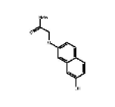 CNC(=O)COc1ccc2ccc(C)cc2c1